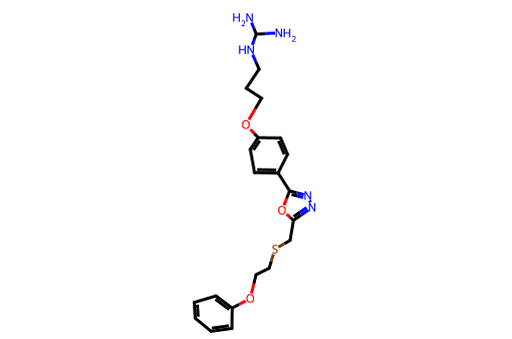 NC(N)NCCCOc1ccc(-c2nnc(CSCCOc3ccccc3)o2)cc1